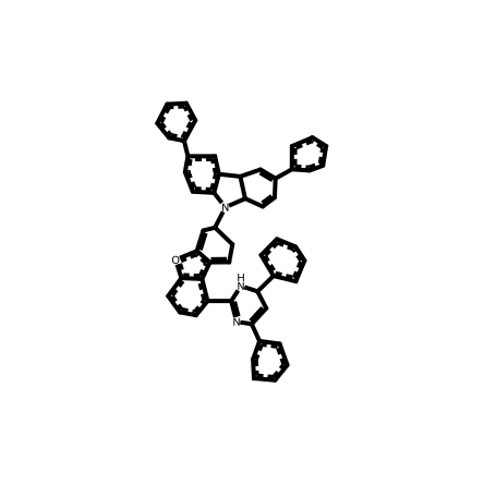 C1=CC2C(C=C1c1ccccc1)c1cc(-c3ccccc3)ccc1N2C1C=c2oc3cccc(C4=NC(c5ccccc5)=CC(c5ccccc5)N4)c3c2=CC1